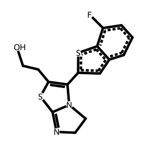 OCCC1=C(c2cc3cccc(F)c3s2)N2CCN=C2S1